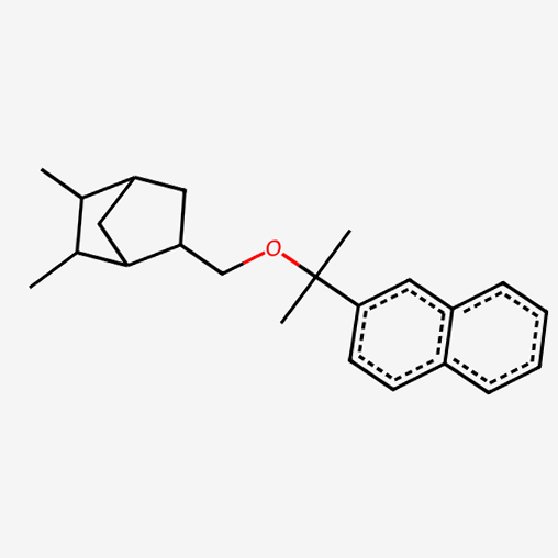 CC1C2CC(COC(C)(C)c3ccc4ccccc4c3)C(C2)C1C